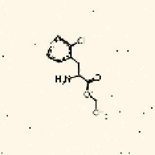 CCOC(=O)C(N)Cc1ccccc1Cl